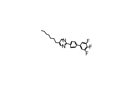 CCCCCCCc1cnc(-c2ccc(-c3cc(F)c(F)c(F)c3)cc2)nc1